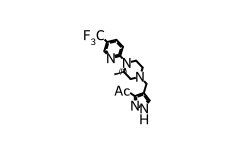 CC(=O)c1n[nH]cc1CN1CCN(c2ccc(C(F)(F)F)cn2)[C@H](C)C1